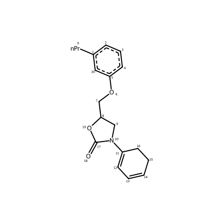 CCCc1cccc(OCC2CN(C3=CC=CCC3)C(=O)O2)c1